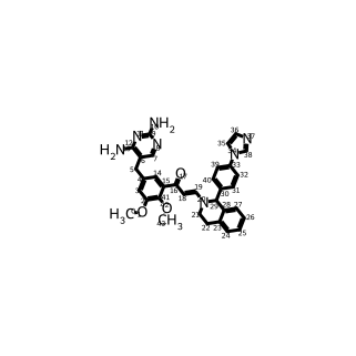 COc1cc(Cc2cnc(N)nc2N)cc(C(=O)/C=C/N2CCc3ccccc3C2c2ccc(-n3ccnc3)cc2)c1OC